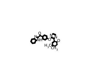 CC1(C)C=C(c2nccnc2Oc2ccc(C(=O)c3nc4ccccc4[nH]3)cc2)C(=O)CC1